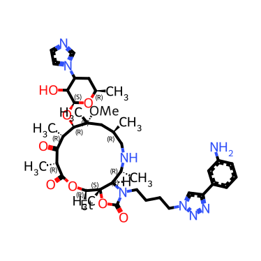 CC[C@H]1OC(=O)[C@H](C)C(=O)[C@H](C)[C@@H](O[C@@H]2O[C@H](C)CC(n3ccnc3)C2O)[C@](C)(OC)C[C@@H](C)CN[C@H](C)[C@H]2N(CCCCn3cc(-c4cccc(N)c4)nn3)C(=O)O[C@]12C